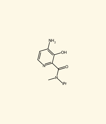 CC(C)N(C)C(=O)c1nccc(N)c1O